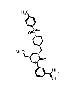 COCC1CN(CC2CCN(S(=O)(=O)c3ccc(C)cc3)CC2)C(=O)N(c2cccc(C(=N)N)c2)C1